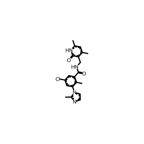 Cc1cc(C)c(CNC(=O)c2cc(Cl)cc(-n3ccnc3C)c2C)c(=O)[nH]1